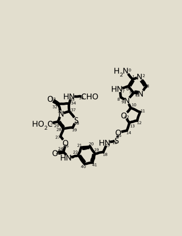 Nc1ncnc2c1NCN2C1CCC(COSNCc2ccc(NC(=O)OCC3=C(C(=O)O)N4C(=O)C(NC=O)C4SC3)cc2)O1